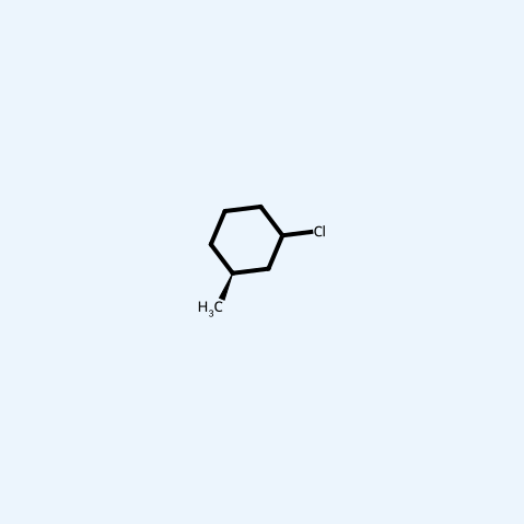 C[C@H]1CCCC(Cl)C1